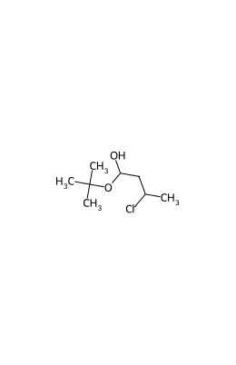 CC(Cl)CC(O)OC(C)(C)C